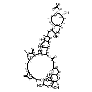 C=C1CC2CC[C@]34OC(CO)[C@@H]5OC6CCC(CC(=O)OC7CC8OC9CC(CC%10O[C@@]%11(CCC%10O)C[C@H](C)CO[C@H](CC(=O)O)[C@H](O)CCO%11)O[C@@H]9C[C@@H]8O[C@H]7CC7OC(CCC1O2)C[C@@H](C)C7=C)O[C@@H]6C(O3)C5OCC4O